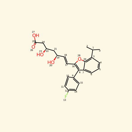 CC(C)c1cccc2c(-c3ccc(F)cc3)c(/C=C/[C@@H](O)C[C@@H](O)CC(=O)O)oc12